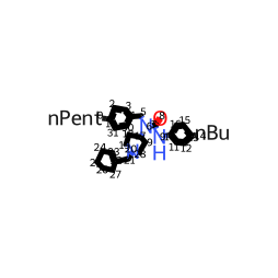 CCCCCc1ccc(CN(C(=O)Nc2ccc(CCCC)cc2)C2CCN(CC3=CCCCC3)CC2)cc1